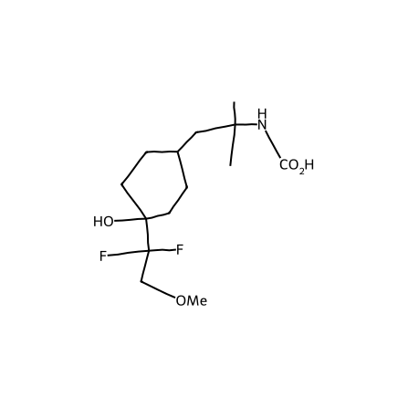 COCC(F)(F)C1(O)CCC(CC(C)(C)NC(=O)O)CC1